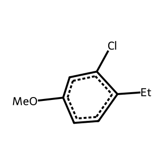 [CH2]Cc1ccc(OC)cc1Cl